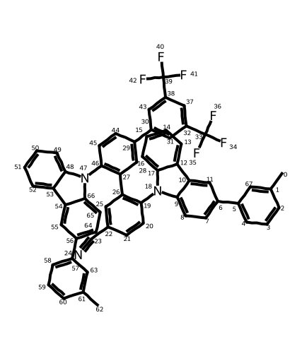 Cc1cccc(-c2ccc3c(c2)c2ccccc2n3-c2ccc(C#N)cc2-c2cc(-c3cc(C(F)(F)F)cc(C(F)(F)F)c3)ccc2-n2c3ccccc3c3cc(-c4cccc(C)c4)ccc32)c1